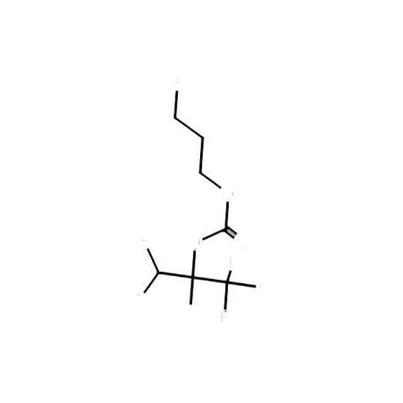 O=C(OCCCF)OC(F)(C(F)F)C(F)(F)F